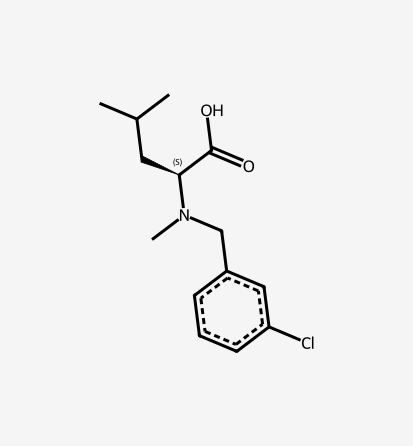 CC(C)C[C@@H](C(=O)O)N(C)Cc1cccc(Cl)c1